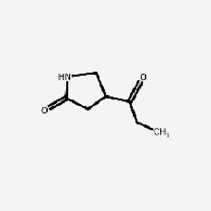 CCC(=O)C1CNC(=O)C1